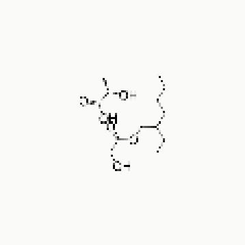 CCCCC(CC)COC(=O)C(C)O.C[C@@H](O)C(=O)O